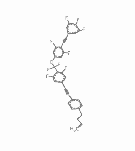 C=CCCc1ccc(C#Cc2cc(F)c(C(F)(F)Oc3cc(F)c(C#Cc4cc(F)c(F)c(F)c4)c(F)c3)c(F)c2)cc1